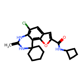 C=C1Nc2c(Cl)cc3cc(C(=O)NC4CCC4)oc3c2C2(CCCCC2)N1